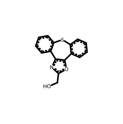 OCc1nc2c(o1)-c1ccccc1Sc1ccccc1-2